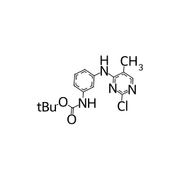 Cc1cnc(Cl)nc1Nc1cccc(NC(=O)OC(C)(C)C)c1